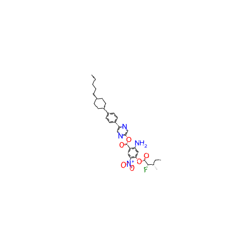 CCCCCC1CCC(c2ccc(-c3cnc(OC(=O)c4cc([N+](=O)[O-])c(OC(=O)[C@@H](F)[C@@H](C)CC)cc4N)cn3)cc2)CC1